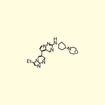 CCc1cnc2ncc(-c3ccn4nc(N[C@H]5CC[C@H](N6CCOCC6)CC5)ncc34)cn12